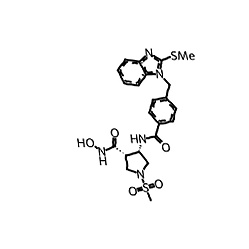 CSc1nc2ccccc2n1Cc1ccc(C(=O)N[C@@H]2CN(S(C)(=O)=O)C[C@@H]2C(=O)NO)cc1